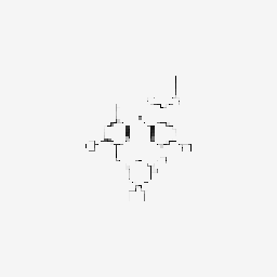 CC(C)(C)OC(=O)c1cc(Cl)c(O[C@H]2CN(Cc3ccc(F)cc3Cl)CC(F)(F)C2)cc1F